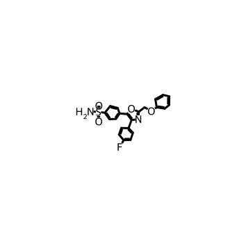 NS(=O)(=O)c1ccc(-c2oc(COc3ccccc3)nc2-c2ccc(F)cc2)cc1